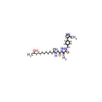 C=C(O)CCCCCCCCCC(=C)NCC(=O)N[C@@H](C)C(=O)NCc1ccc(-c2scnc2C)cc1